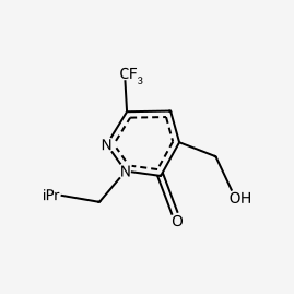 CC(C)Cn1nc(C(F)(F)F)cc(CO)c1=O